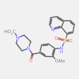 COc1cc(C(=O)N2CCN(C(=O)O)CC2)ccc1NS(=O)(=O)c1cccc2cccnc12